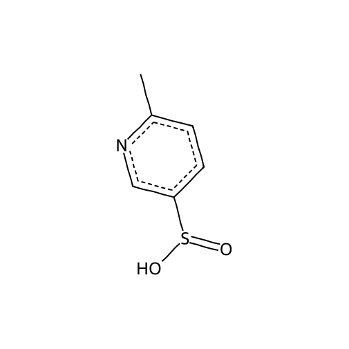 Cc1ccc(S(=O)O)cn1